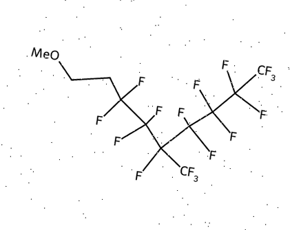 COCCC(F)(F)C(F)(F)C(F)(C(F)(F)F)C(F)(F)C(F)(F)C(F)(F)C(F)(F)F